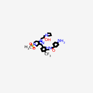 CS(=O)(=O)N1CCc2c(c(-c3ccc(C(F)(F)F)c(CNC(=O)c4ccc(N)cc4)c3)nn2CC(O)CN2CCCC2)C1